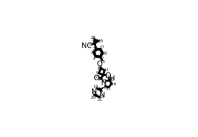 N#CC1(c2ccc(COC3CC4(C3)O[C@@H]3CC[C@@H](c5cnccn5)N3C4=O)cc2)CC1